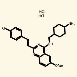 COc1ccc2nc(C=Cc3ccc(Cl)cc3)nc(NCC3CCC(N)CC3)c2c1.Cl.Cl